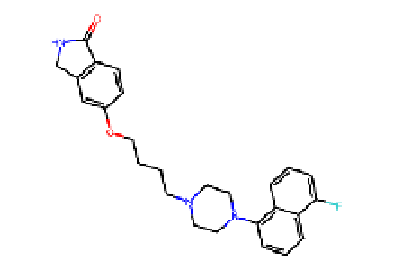 O=C1NCc2cc(OCCCCN3CCN(c4cccc5c(F)cccc45)CC3)ccc21